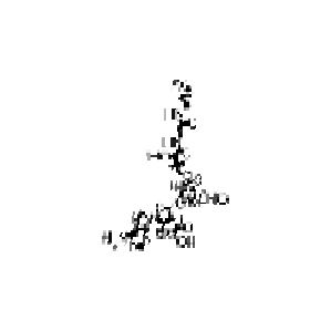 CC(=O)SCCNC(=O)CCNC(=O)[C@H](O)C(C)(C)COP(=O)(O)OP(=O)(O)OC[C@H]1O[C@@H](n2cnc3c(N)ncnc32)[C@H](O)[C@@H]1OP(=O)(O)O.CC=O